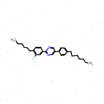 CCCCCCCc1ccc(-c2cnc(-c3ccc(CCCCCC)c(F)c3)nc2)cc1